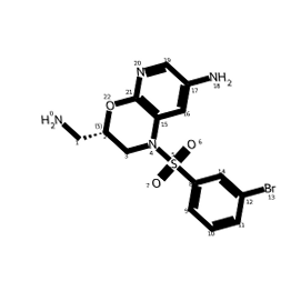 NC[C@H]1CN(S(=O)(=O)c2cccc(Br)c2)c2cc(N)cnc2O1